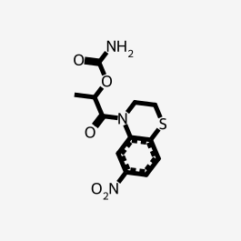 CC(OC(N)=O)C(=O)N1CCSc2ccc([N+](=O)[O-])cc21